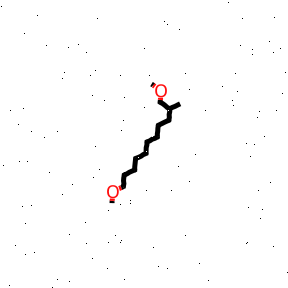 COCCCCCCCCCC(C)COC